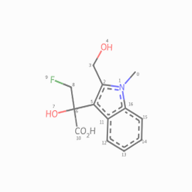 Cn1c(CO)c(C(O)(CF)C(=O)O)c2ccccc21